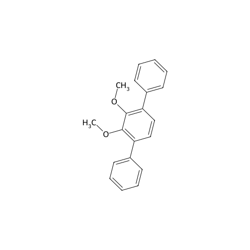 COc1c(-c2ccccc2)ccc(-c2ccccc2)c1OC